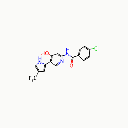 O=C(Nc1cc(O)c(-c2cc(C(F)(F)F)c[nH]2)cn1)c1ccc(Cl)cc1